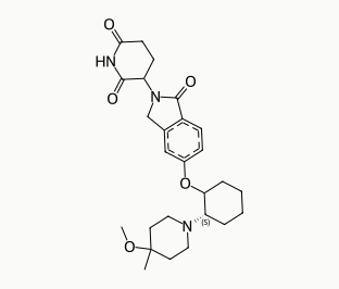 COC1(C)CCN([C@H]2CCCCC2Oc2ccc3c(c2)CN(C2CCC(=O)NC2=O)C3=O)CC1